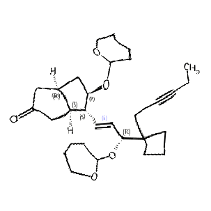 CCC#CCC1([C@@H](/C=C/[C@@H]2[C@H]3CC(=O)C[C@H]3C[C@H]2OC2CCCCO2)OC2CCCCO2)CCC1